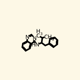 CC(C)C(Cc1ccccc1)Nc1ncnc2ccccc12